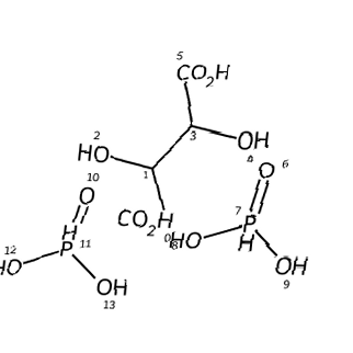 O=C(O)C(O)C(O)C(=O)O.O=[PH](O)O.O=[PH](O)O